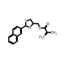 C=C(C)C(=O)OCC1CSC(c2ccc3ccccc3c2)S1